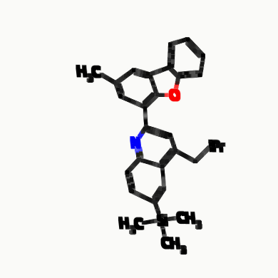 Cc1cc(-c2cc(CC(C)C)c3cc([Si](C)(C)C)ccc3n2)c2oc3ccccc3c2c1